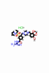 C=CC(n1cccc1)S(=O)(=O)c1cc(C(=O)NC(=N)N)ccc1CN1CCN(Cc2ccc(OC)c(OC)c2OC)CC1.Cl